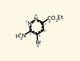 CCOC(=O)c1cc(Br)c(N)nn1